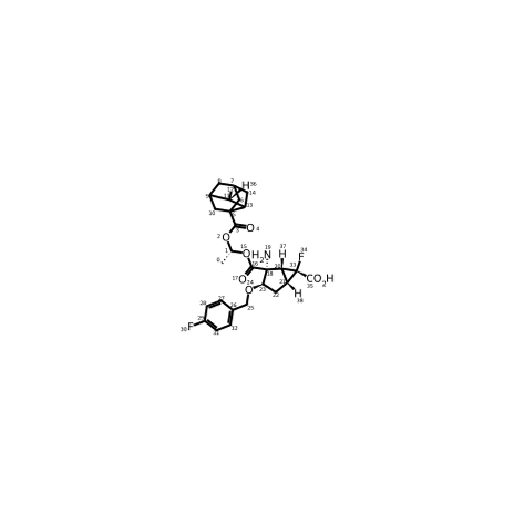 C[C@H](OC(=O)C12CC3CC(C1)[C@H](C)C2C3)OC(=O)[C@@]1(N)[C@H]2[C@@H](C[C@H]1OCc1ccc(F)cc1)[C@]2(F)C(=O)O